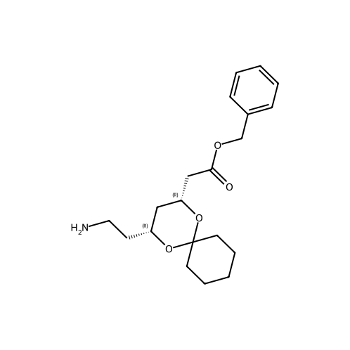 NCC[C@@H]1C[C@H](CC(=O)OCc2ccccc2)OC2(CCCCC2)O1